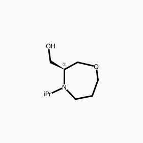 CC(C)N1CCCOC[C@@H]1CO